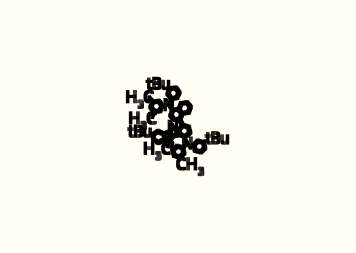 Cc1cc(C)cc(N(c2cccc(C(C)(C)C)c2)c2cc3c(c4ccccc24)c2ccc(N(c4cc(C)cc(C)c4)c4cccc(C(C)(C)C)c4)c4c5sc6ccc(C(C)(C)C)cc6c5n3c24)c1